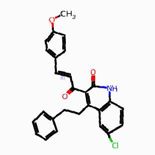 COc1ccc(/C=C/C(=O)c2c(CCc3ccccc3)c3cc(Cl)ccc3[nH]c2=O)cc1